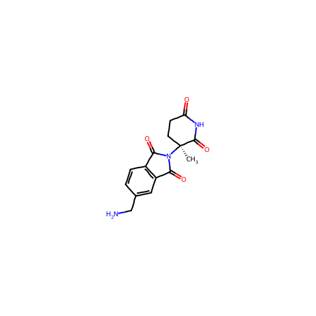 C[C@]1(N2C(=O)c3ccc(CN)cc3C2=O)CCC(=O)NC1=O